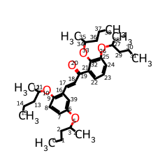 CCCC(C)Oc1ccc(OC(C)CCC)c(C=CC(=O)c2cccc(OC(C)CCC)c2OC(C)CCC)c1